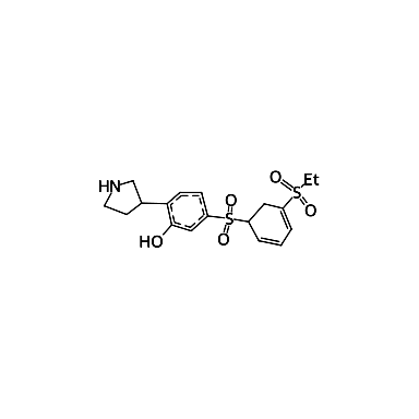 CCS(=O)(=O)C1=CC=CC(S(=O)(=O)c2ccc(C3CCNC3)c(O)c2)C1